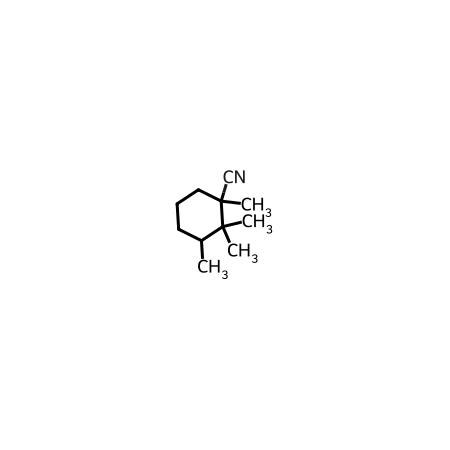 CC1CCCC(C)(C#N)C1(C)C